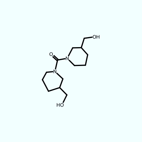 O=C(N1CCCC(CO)C1)N1CCCC(CO)C1